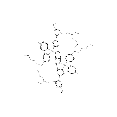 CCCCCCc1ccc(C2(c3ccc(C)cc3)c3cc(-c4sc(C=O)cc4OCC(CC)CCCC)sc3-c3sc4c5c(sc4c32)-c2sc(-c3sc(C=O)cc3OCC(CC)CCCC)cc2C5(c2ccc(C)cc2)c2ccc(CCCCCC)cc2)cc1